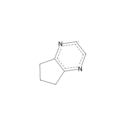 [c]1cnc2c(n1)CCC2